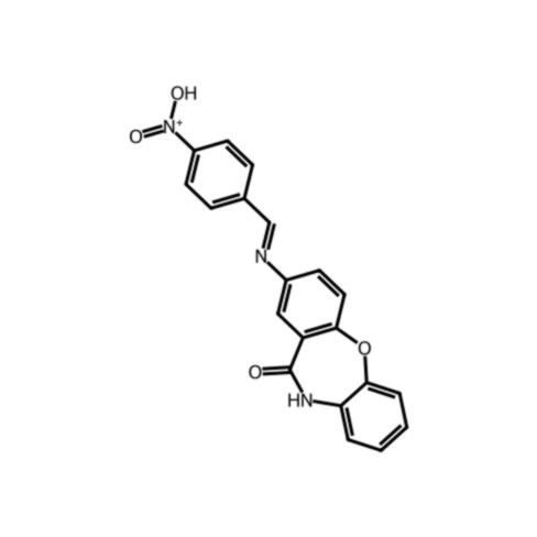 O=C1Nc2ccccc2Oc2ccc(/N=C/c3ccc([N+](=O)O)cc3)cc21